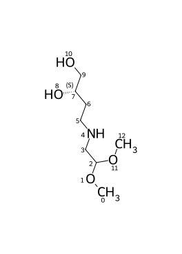 COC(CNCC[C@H](O)CO)OC